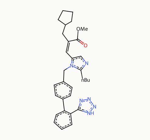 CCCCc1ncc(C=C(CC2CCCC2)C(=O)OC)n1Cc1ccc(-c2ccccc2-c2nnn[nH]2)cc1